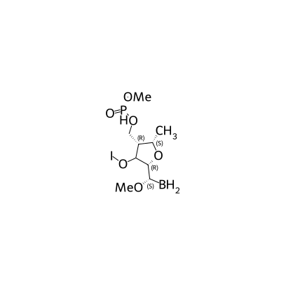 B[C@H](OC)[C@H]1O[C@@H](C)[C@@H](CO[PH](=O)OC)C1OI